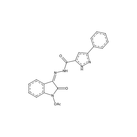 CC(=O)ON1C(=O)C(=NNC(=O)c2cc(-c3ccccc3)n[nH]2)c2ccccc21